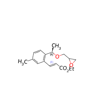 CCOC(=O)/C=C/c1cc(C)ccc1[C@@H](C)OCC1CO1